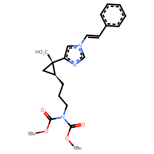 CC(C)(C)OC(=O)N(CCC[C@H]1C[C@]1(C(=O)O)c1cn(C=Cc2ccccc2)cn1)C(=O)OC(C)(C)C